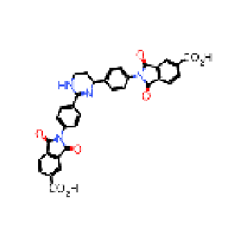 O=C(O)c1ccc2c(c1)C(=O)N(c1ccc(C3=NC(c4ccc(N5C(=O)c6ccc(C(=O)O)cc6C5=O)cc4)CCN3)cc1)C2=O